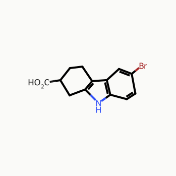 O=C(O)C1CCc2c([nH]c3ccc(Br)cc23)C1